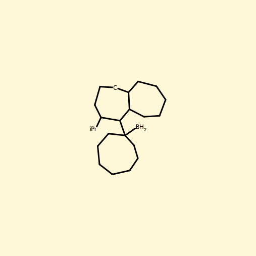 BC1(C2C(C(C)C)CCCC3CCCCCC32)CCCCCCC1